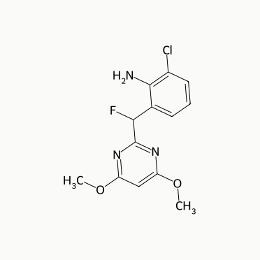 COc1cc(OC)nc(C(F)c2cccc(Cl)c2N)n1